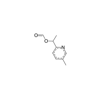 Cc1ccc(C(C)OC=O)nc1